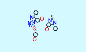 COc1ccc(COCc2nnc3n2-c2ccc(OC)cc2C(c2ccccc2)=NC3)cc1.COc1ccc2c(c1)C(c1ccccc1)=NCC(SC)=N2